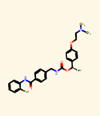 CCC[C@@H](OC(=O)NCc1ccc(C(=O)Nc2ccccc2S)cc1)c1ccc(OCCN(C)C)cc1